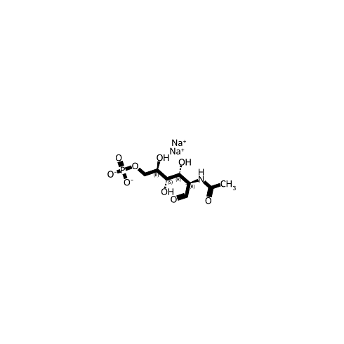 CC(=O)N[C@@H](C=O)[C@@H](O)[C@H](O)[C@H](O)COP(=O)([O-])[O-].[Na+].[Na+]